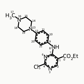 CCOC(=O)c1cnc(Cl)nc1Nc1ccc(N2CCN(C)CC2)cc1